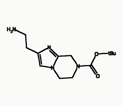 CC(C)(C)OC(=O)N1CCn2cc(CCN)nc2C1